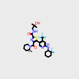 C[C@H]1CCCCN1C(=O)c1nc(C(=O)NCC(C)(C)O)sc1-c1cnc(NC2CCCCC2(F)F)cc1C(F)(F)F